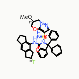 CO[C@@H]1COc2c(S(=N)(=O)N(C(=O)Nc3c4c(cc5c3C[C@H](F)C5)CCC4)C(c3ccccc3)(c3ccccc3)c3ccccc3)cnn2C1